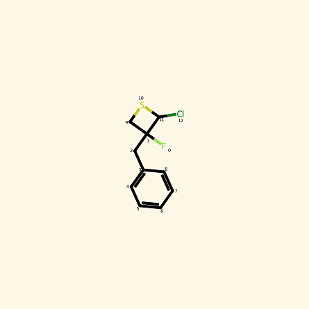 FC1([CH]c2ccccc2)CSC1Cl